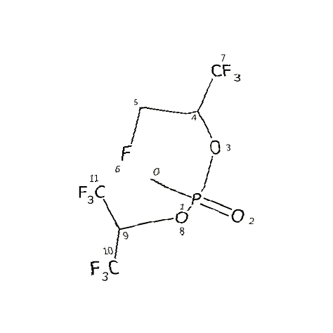 CP(=O)(OC(CF)C(F)(F)F)OC(C(F)(F)F)C(F)(F)F